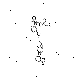 CCCC(=O)OCN1C(=O)CCc2ccc(OCCCCN3CCN(c4cccc5sccc45)CC3)cc21